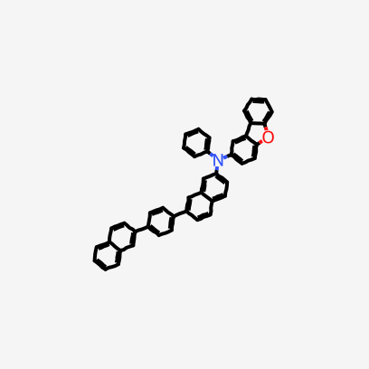 c1ccc(N(c2ccc3ccc(-c4ccc(-c5ccc6ccccc6c5)cc4)cc3c2)c2ccc3oc4ccccc4c3c2)cc1